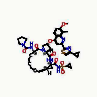 COc1ccc2c(O[C@@H]3C[C@H]4C(=O)N[C@]5(C(=O)NS(=O)(=O)C6CC6)C[C@H]5C=CCCCCC[C@H](NC(=O)N5CCCC5)C(=O)N4C3)cc(-c3nc(C4CC4)cs3)nc2c1C